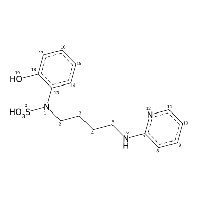 O=S(=O)(O)N(CCCCNc1ccccn1)c1ccccc1O